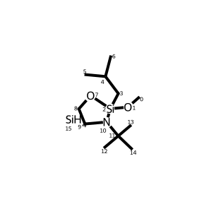 CO[Si]1(CC(C)C)OCCN1C(C)(C)C.[SiH4]